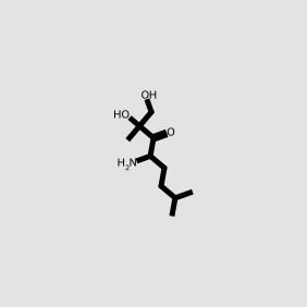 CC(C)CCC(N)C(=O)C(C)(O)CO